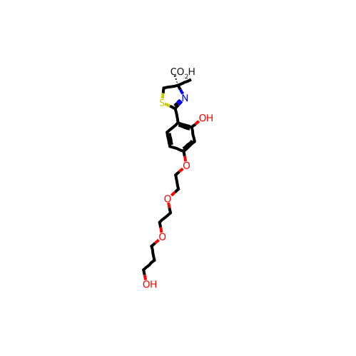 C[C@]1(C(=O)O)CSC(c2ccc(OCCOCCOCCCO)cc2O)=N1